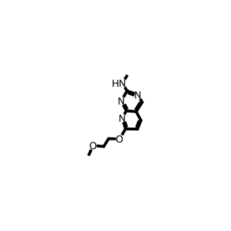 CNc1ncc2ccc(OCCOC)nc2n1